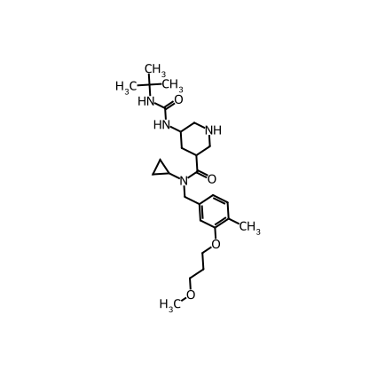 COCCCOc1cc(CN(C(=O)C2CNCC(NC(=O)NC(C)(C)C)C2)C2CC2)ccc1C